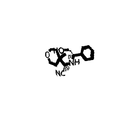 CC1([C@@H](C#N)N[C@H](CO)c2ccccc2)CCOCC1